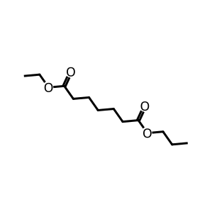 CCCOC(=O)CCCCCC(=O)OCC